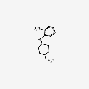 O=C(O)[C@H]1CC[C@@H](Nc2ccccc2[N+](=O)[O-])CC1